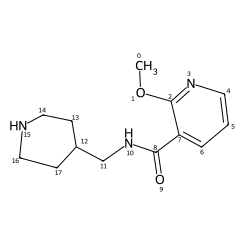 COc1ncccc1C(=O)NCC1CCNCC1